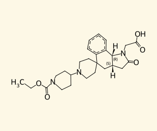 CCOC(=O)N1CCC(N2CCC3(CC2)C[C@H]2CC(=O)N(CC(=O)O)[C@H]2c2ccccc23)CC1